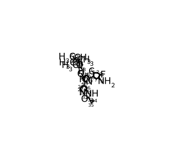 Cc1cc(F)c(N)cc1-c1cc(OCCO[Si](C)(C)C(C)(C)C)nc(-c2ccnc(NC(=O)C3CC3)c2)n1